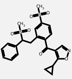 CS(=O)(=O)c1ccc(C(=O)c2cnoc2C2CC2)c(CC(c2ccccc2)S(C)(=O)=O)c1